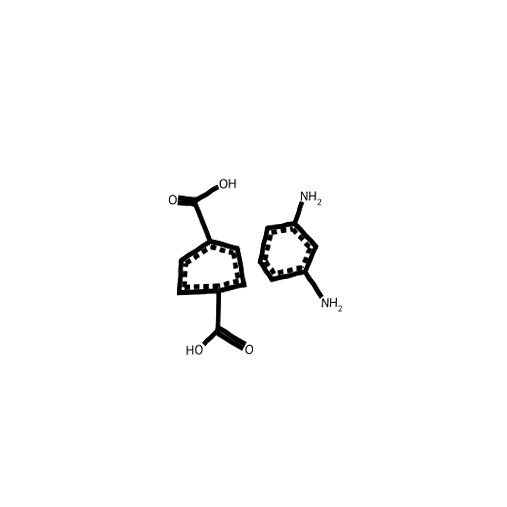 Nc1cccc(N)c1.O=C(O)c1ccc(C(=O)O)cc1